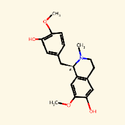 COc1ccc(C[C@@H]2c3cc(OC)c(O)cc3CCN2C)cc1O